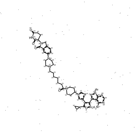 CC(C)n1nc(-c2noc(C3CC3)c2-c2cn(C3CCN(C(=O)CCCCCCN4CCN(c5ccc6c(c5)C(=O)N(C5CCC(=O)NC5=O)C6)CC4)CC3)cn2)c2c(N)ncnc21